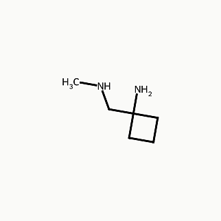 CNCC1(N)CCC1